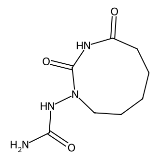 NC(=O)NN1CCCCCC(=O)NC1=O